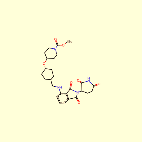 CC(C)(C)OC(=O)N1CCC(O[C@H]2CC[C@H](CNc3cccc4c3C(=O)N(C3CCC(=O)NC3=O)C4=O)CC2)CC1